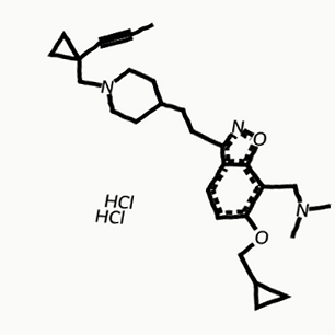 CC#CC1(CN2CCC(CCc3noc4c(CN(C)C)c(OCC5CC5)ccc34)CC2)CC1.Cl.Cl